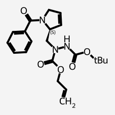 C=CCOC(=O)N(C[C@@H]1C=CCN1C(=O)c1ccccc1)NC(=O)OC(C)(C)C